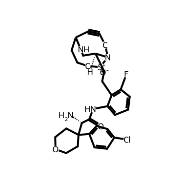 N[C@H](C(=O)Nc1cccc(F)c1CC[C@H]1CNC2C#CCN1[S+]([O-])CCC2)C1(c2ccc(Cl)cc2)CCOCC1